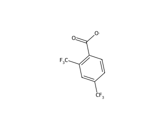 [O]C(=O)c1ccc(C(F)(F)F)cc1C(F)(F)F